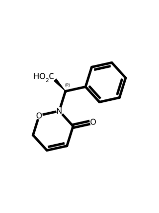 O=C(O)[C@@H](c1ccccc1)N1OCC=CC1=O